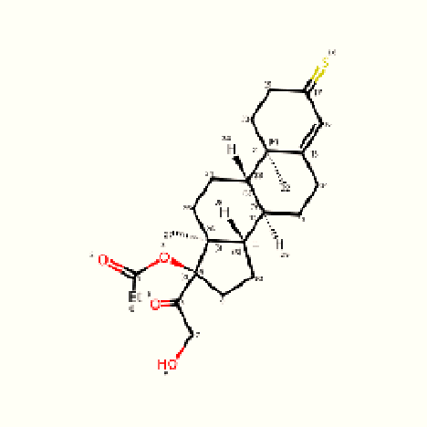 CCC(=O)O[C@]1(C(=O)CO)CC[C@H]2[C@@H]3CCC4=CC(=S)CC[C@]4(C)[C@H]3CC[C@@]21C